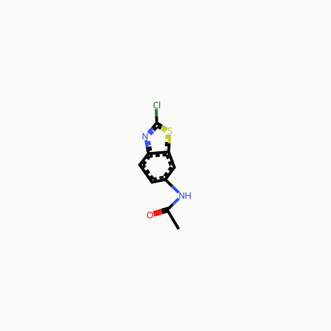 CC(=O)Nc1ccc2nc(Cl)sc2c1